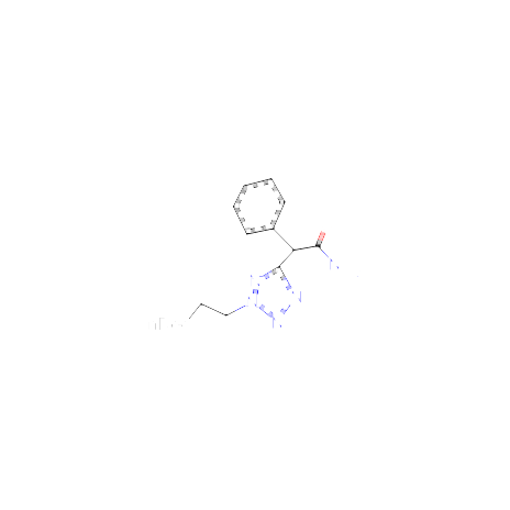 CCCCCCCCCCCCn1nnc(C(C(N)=O)c2ccccc2)n1